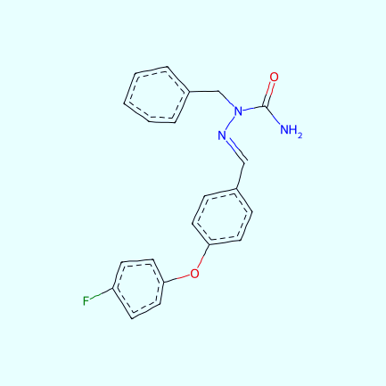 NC(=O)N(Cc1ccccc1)N=Cc1ccc(Oc2ccc(F)cc2)cc1